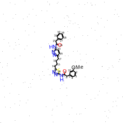 COc1cccc(CC(=O)Nc2nnc(CCCCc3ccc(NC(=O)Cc4ccccc4)nn3)s2)c1